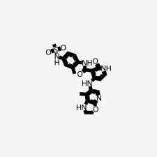 Cc1cc(NS(C)(=O)=O)ccc1NC(=O)c1c(Nc2cnc3c(c2C)NCCO3)cc[nH]c1=O